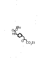 CCOC(=O)CC(=O)Cc1ccc(NC(=O)OC(C)(C)C)cc1